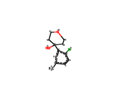 OC1(c2cc(C(F)(F)F)ccc2Br)CCOCC1